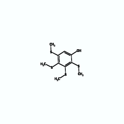 CSc1cc(O)c(SC)c(SC)c1SC